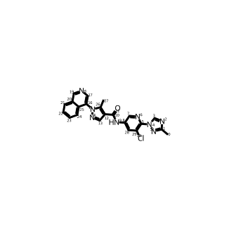 Cc1ncn(-c2ncc(NC(=O)c3cnn(-c4cncc5ccccc45)c3C)cc2Cl)n1